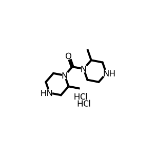 CC1CNCCN1C(=O)N1CCNCC1C.Cl.Cl